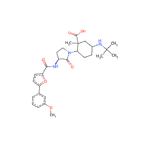 COc1cccc(-c2ccc(C(=O)N[C@H]3CCN(C4CCC(NC(C)(C)C)CC4(C)C(=O)O)C3=O)o2)c1